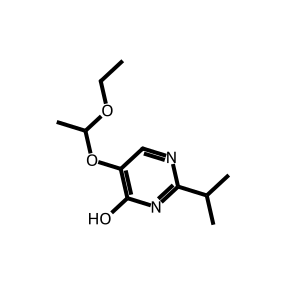 CCOC(C)Oc1cnc(C(C)C)nc1O